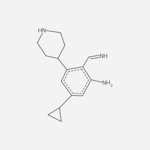 N=Cc1c(N)cc(C2CC2)cc1C1CCNCC1